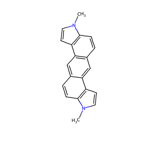 Cn1ccc2c3cc4ccc5c(ccn5C)c4cc3ccc21